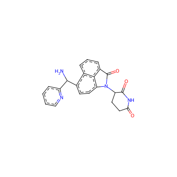 NC(c1ccccn1)c1ccc2c3c(cccc13)C(=O)N2C1CCC(=O)NC1=O